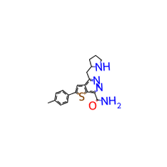 Cc1ccc(-c2cc3c(CC4CCCN4)nnc(C(N)=O)c3s2)cc1